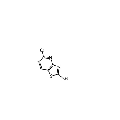 Sc1nc2nc(Cl)ncc2s1